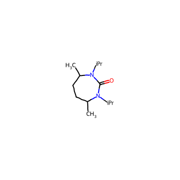 CC(C)N1C(=O)N(C(C)C)C(C)CCC1C